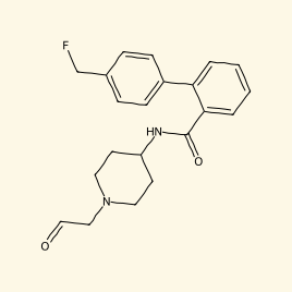 O=CCN1CCC(NC(=O)c2ccccc2-c2ccc(CF)cc2)CC1